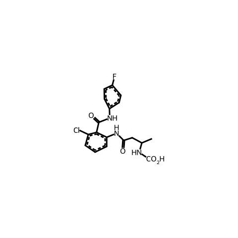 CC(CC(=O)Nc1cccc(Cl)c1C(=O)Nc1ccc(F)cc1)NC(=O)O